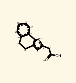 O=C(O)Cc1cc2c(s1)-c1ccccc1CC2